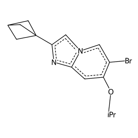 CC(C)Oc1cc2nc(C34CC(C3)C4)cn2cc1Br